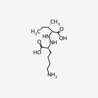 CC[C@H](C)[C@H](NN[C@@H](CCCCN)C(=O)O)C(=O)O